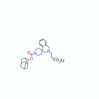 CCOC(=O)CCN1Cc2ccccc2C2(CCN(C(=O)OC3C4CC5CC(C4)CC3C5)CC2)C1